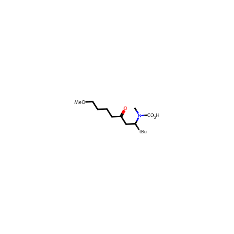 COCCCCC(=O)CC(N(C)C(=O)O)C(C)(C)C